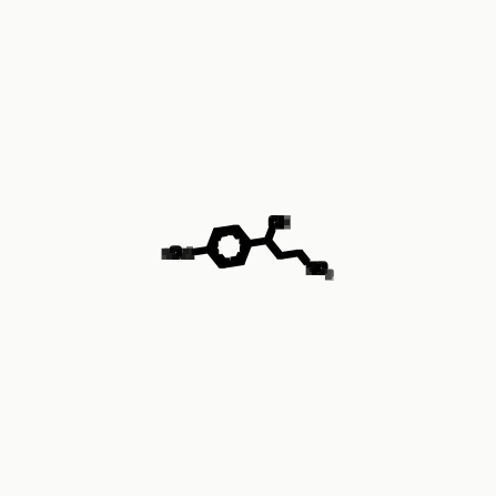 CCCCCCCCc1ccc(C(O)CC[N+](=O)[O-])cc1